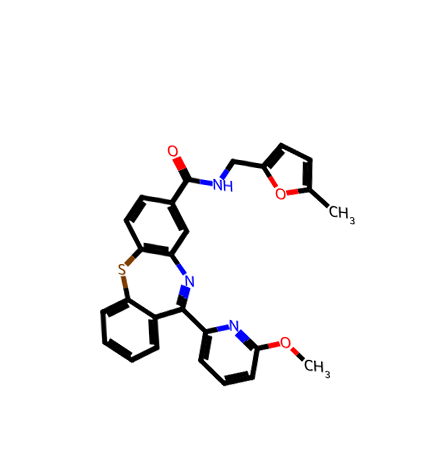 COc1cccc(C2=Nc3cc(C(=O)NCc4ccc(C)o4)ccc3Sc3ccccc32)n1